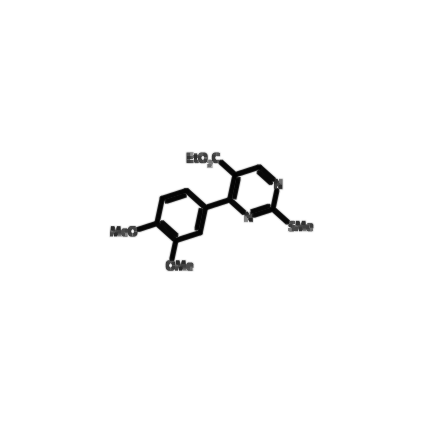 CCOC(=O)c1cnc(SC)nc1-c1ccc(OC)c(OC)c1